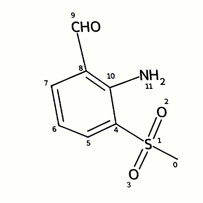 CS(=O)(=O)c1cccc(C=O)c1N